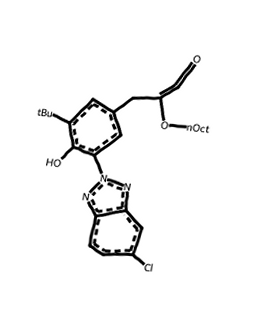 CCCCCCCCOC(=C=O)Cc1cc(-n2nc3ccc(Cl)cc3n2)c(O)c(C(C)(C)C)c1